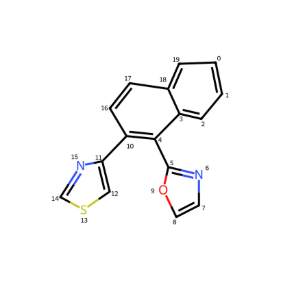 c1ccc2c(-c3ncco3)c(-c3cscn3)ccc2c1